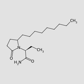 CCCCCCCCCC1CCC(=O)N1[C@@H](CC)C(N)=O